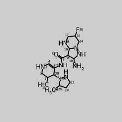 CC1CNC=C(NC(=O)C2C(N)NN3CC(F)CNC23)C1N1NCCC1C